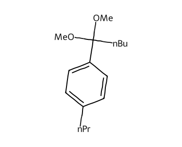 CCCCC(OC)(OC)c1ccc(CCC)cc1